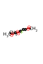 C=CC(=O)OCc1ccc2cc(-c3ccc(C(=O)Oc4ccc(COC(=O)C(=C)C)cc4)cc3F)ccc2c1